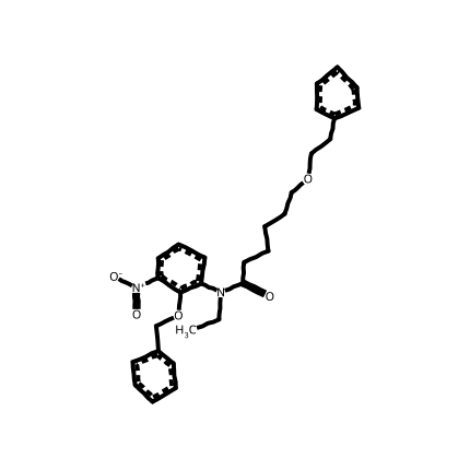 CCN(C(=O)CCCCCOCCc1ccccc1)c1cccc([N+](=O)[O-])c1OCc1ccccc1